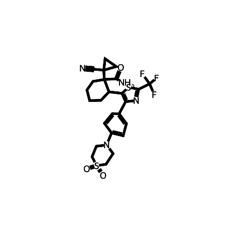 N#CC1(C2(C(N)=O)CCCCC2c2sc(C(F)(F)F)nc2-c2ccc(N3CCS(=O)(=O)CC3)cc2)CC1